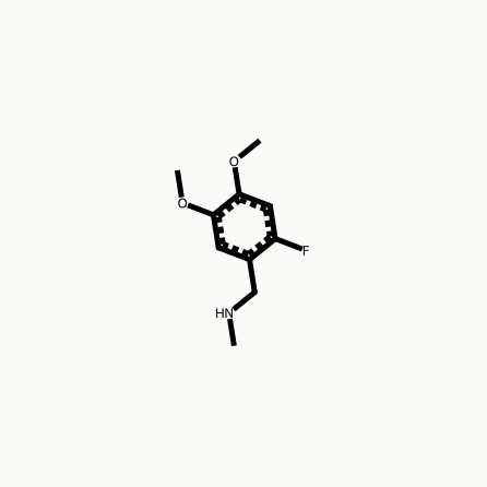 CNCc1cc(OC)c(OC)cc1F